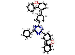 C1=CC2Oc3ccccc3C2C(C2=CC=C(c3nc(-c4ccccc4)nc(-c4ccc5oc6ccccc6c5c4)n3)CC2)=C1